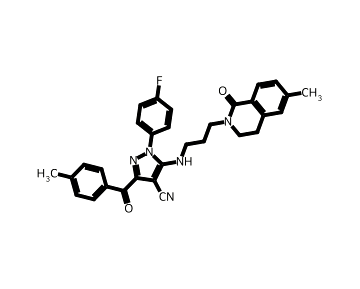 Cc1ccc(C(=O)c2nn(-c3ccc(F)cc3)c(NCCCN3CCc4cc(C)ccc4C3=O)c2C#N)cc1